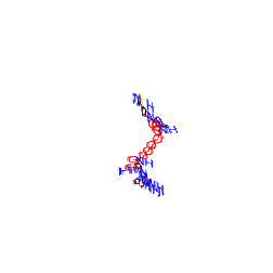 CCC1C(=N)N(C=N)c2cnc(Nc3ccc(C(=O)NCCOCCOCCOCCOCCC(=O)N[C@H](C(=O)N4CCC[C@H]4C(=O)NCc4ccc(-c5scnc5C)cc4)C(C)(C)C)cc3OC)nc2N1C1CCCC1